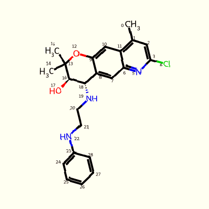 Cc1cc(Cl)nc2cc3c(cc12)OC(C)(C)[C@H](O)[C@H]3NCCNc1ccccc1